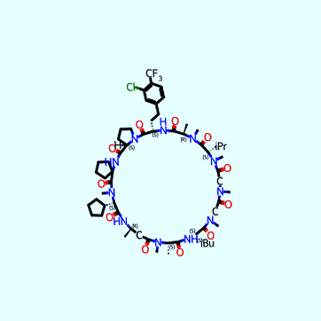 CC[C@H](C)[C@@H]1NC(=O)[C@H](C)N(C)C(=O)C[C@@H](C)NC(=O)[C@H](C2CCCC2)N(C)C(=O)C2(CCCC2)NC(=O)[C@@H]2CCCN2C(=O)[C@H](CCc2ccc(C(F)(F)F)c(Cl)c2)NC(=O)[C@@H](C)N(C)C(=O)[C@H](C(C)C)N(C)C(=O)CN(C)C(=O)CN(C)C1=O